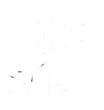 CC(C(=O)O)c1cccc(C(=O)c2ccccc2)c1.COc1ccc2c3c1O[C@H]1[C@@H](O)C=C[C@H]4[C@@H](C2)N(C)CC[C@@]341